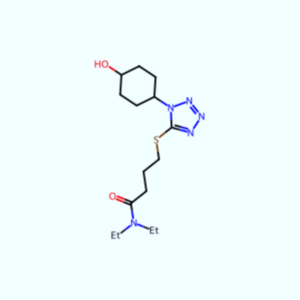 CCN(CC)C(=O)CCCSc1nnnn1C1CCC(O)CC1